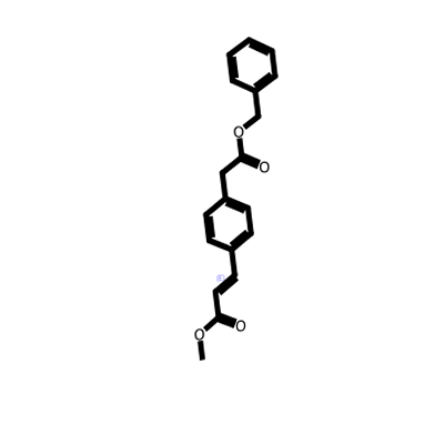 COC(=O)/C=C/c1ccc(CC(=O)OCc2ccccc2)cc1